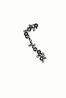 Cc1cccc(C)c1Nc1nn(C)c2nc(Nc3ccc4c(c3)CN(CCOCCNC(=O)CN3CCN(c5ccc6c(c5)C(=O)N(C5CCC(=O)NC5=O)C6=O)CC3)CC4)ncc12